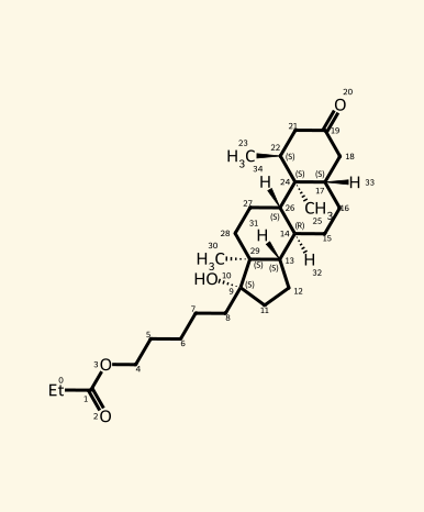 CCC(=O)OCCCCC[C@]1(O)CC[C@H]2[C@@H]3CC[C@H]4CC(=O)C[C@H](C)[C@]4(C)[C@H]3CC[C@@]21C